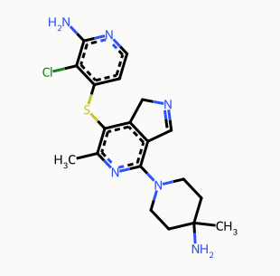 Cc1nc(N2CCC(C)(N)CC2)c2c(c1Sc1ccnc(N)c1Cl)CN=C2